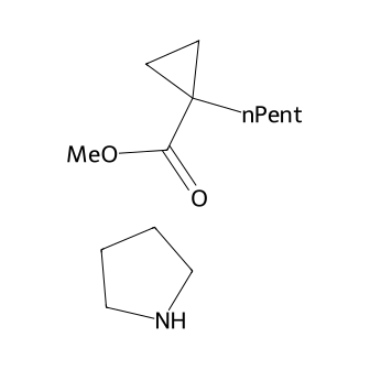 C1CCNC1.CCCCCC1(C(=O)OC)CC1